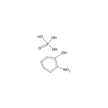 O=P(O)(O)O.O=[N+]([O-])c1ccccc1O